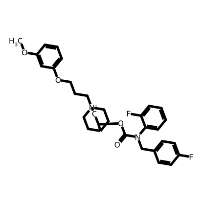 COc1cccc(OCCC[N+]23CCC(CC2)C(OC(=O)N(Cc2ccc(F)cc2)c2ccccc2F)C3)c1